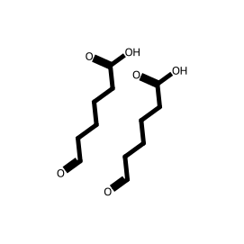 O=CCCCCC(=O)O.O=CCCCCC(=O)O